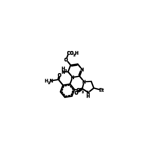 CCC1CN(C2=NC=C(OC(=O)O)C(N)N2c2c(C(N)=O)cccc2C(F)(F)F)C(=O)N1